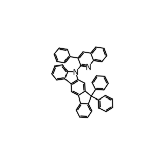 c1ccc(-c2cc3ccccc3nc2-n2c3ccccc3c3cc4c(cc32)C(c2ccccc2)(c2ccccc2)c2ccccc2-4)cc1